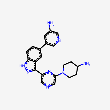 Nc1cncc(-c2ccc3[nH]nc(-c4cncc(N5CCC(N)CC5)n4)c3c2)c1